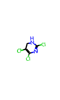 ClC1=NC(Cl)=C(Cl)CN1